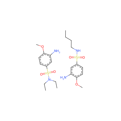 CCCCNS(=O)(=O)c1ccc(OC)c(N)c1.CCN(CC)S(=O)(=O)c1ccc(OC)c(N)c1